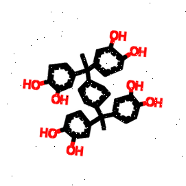 CC(c1ccc(C(C)(c2ccc(O)c(O)c2)c2ccc(O)c(O)c2)cc1)(c1ccc(O)c(O)c1)c1ccc(O)c(O)c1